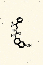 CN(C)C(CNC(=O)NC1CCc2ccc(O)cc2C1)c1ccsc1